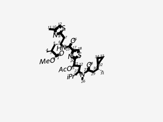 COC(=O)[C@@H](C)C[C@H](Cc1nc(C)cs1)NC(=O)c1csc([C@@H](CC(C(C)C)N(C)C(=O)C[C@@H](C)C2CC2)OC(C)=O)n1